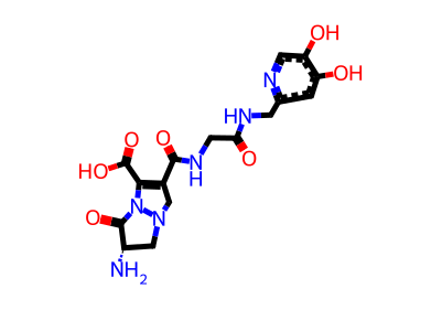 N[C@H]1CN2CC(C(=O)NCC(=O)NCc3cc(O)c(O)cn3)=C(C(=O)O)N2C1=O